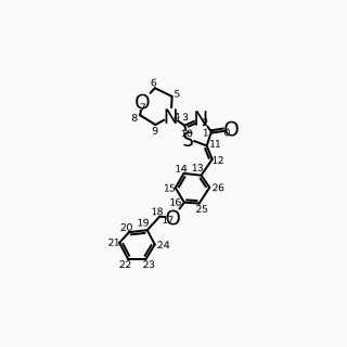 O=C1N=C(N2CCOCC2)S/C1=C\c1ccc(OCc2ccccc2)cc1